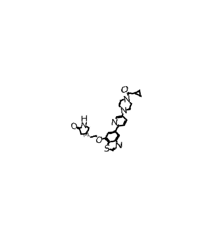 O=C1C[C@@H](CCOc2cc(-c3ccc(N4CCN(C(=O)C5CC5)CC4)cn3)cc3ncsc23)CN1